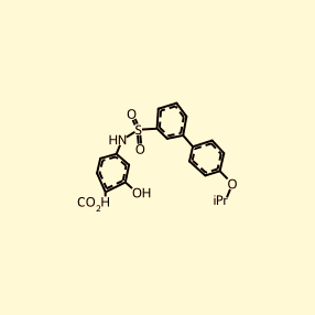 CC(C)Oc1ccc(-c2cccc(S(=O)(=O)Nc3ccc(C(=O)O)c(O)c3)c2)cc1